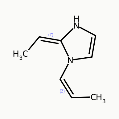 C/C=C\N1C=CN/C1=C/C